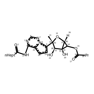 CCCCCCCC(=O)Nc1ncnn2c([C@]3(C)O[C@@H]4C(OC(=O)C(C)C)[C@]4(O)[C@H]3O)ccc12